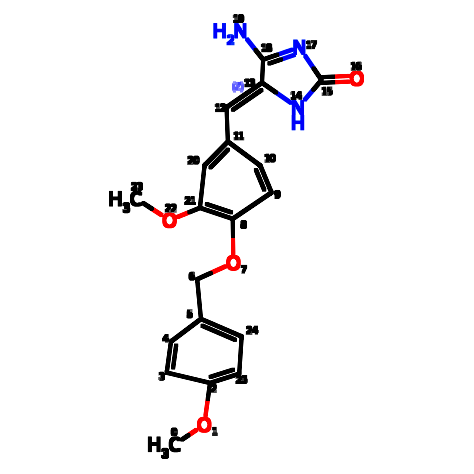 COc1ccc(COc2ccc(/C=C3\NC(=O)N=C3N)cc2OC)cc1